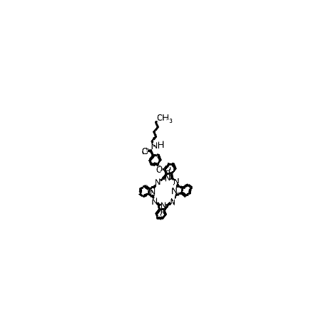 CCCCCCNC(=O)c1ccc(Oc2cccc3c4nc5nc(nc6[nH]c(nc7nc(nc([nH]4)c23)-c2ccccc2-7)c2ccccc62)-c2ccccc2-5)cc1